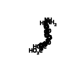 N=C(N)Nc1ccc(C(=O)Oc2ccc3c(c2)CCCC3CC(=O)N(CC(=O)O)Cc2cccc(CC(=O)O)c2)cc1